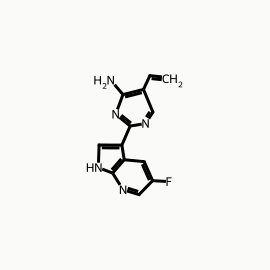 C=Cc1cnc(-c2c[nH]c3ncc(F)cc23)nc1N